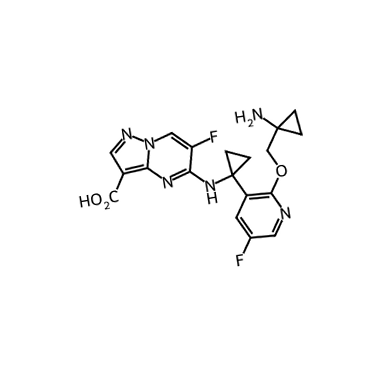 NC1(COc2ncc(F)cc2C2(Nc3nc4c(C(=O)O)cnn4cc3F)CC2)CC1